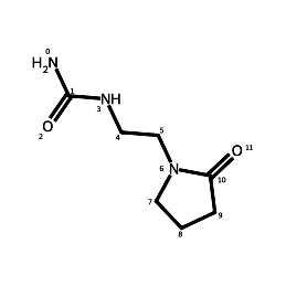 NC(=O)NCCN1CCCC1=O